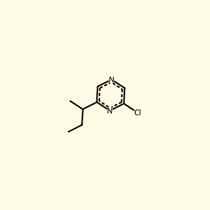 CCC(C)c1cncc(Cl)n1